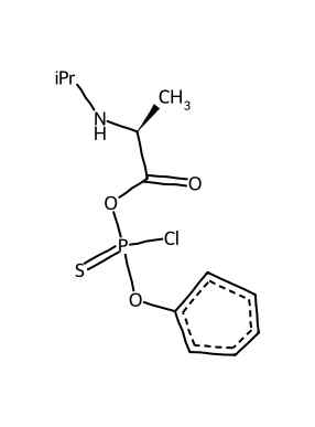 CC(C)N[C@@H](C)C(=O)OP(=S)(Cl)Oc1ccccc1